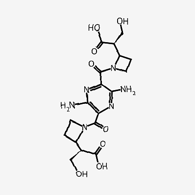 Nc1nc(C(=O)N2CCC2[C@H](CO)C(=O)O)c(N)nc1C(=O)N1CCC1[C@H](CO)C(=O)O